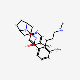 CCOC(=O)c1ccc(N2C3CCC2CC(NC(=O)c2cccc(OC)c2CCCNC(C)C)C3)nc1